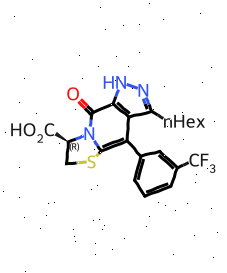 CCCCCCc1n[nH]c2c(=O)n3c(c(-c4cccc(C(F)(F)F)c4)c12)SC[C@H]3C(=O)O